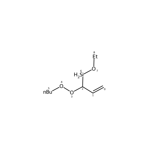 C=CC(OOCCCC)[SiH2]OCC